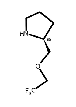 FC(F)(F)COC[C@@H]1CCCN1